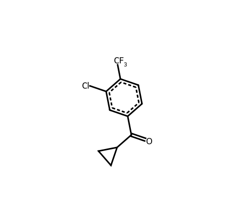 O=C(c1ccc(C(F)(F)F)c(Cl)c1)C1CC1